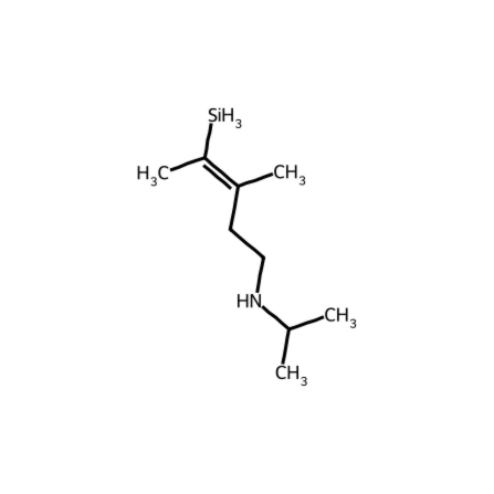 CC([SiH3])=C(C)CCNC(C)C